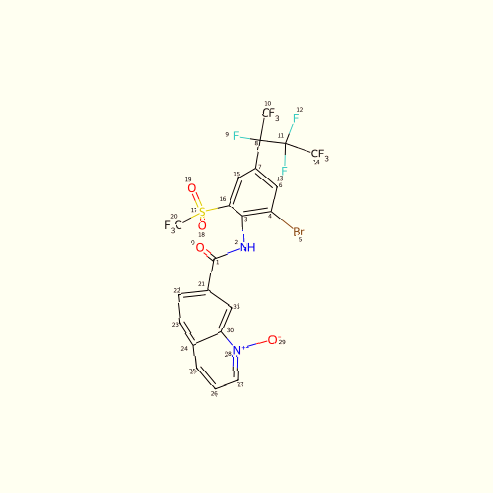 O=C(Nc1c(Br)cc(C(F)(C(F)(F)F)C(F)(F)C(F)(F)F)cc1S(=O)(=O)C(F)(F)F)c1ccc2ccc[n+]([O-])c2c1